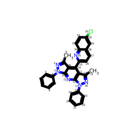 Cc1nn(-c2ccccc2)c2nc3c(c(C)nn3-c3ccccc3)c(-c3ccc4cc(Cl)ccc4n3)c12